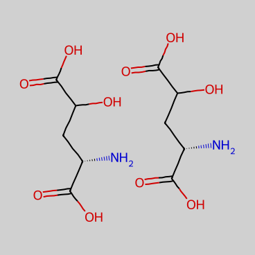 N[C@@H](CC(O)C(=O)O)C(=O)O.N[C@@H](CC(O)C(=O)O)C(=O)O